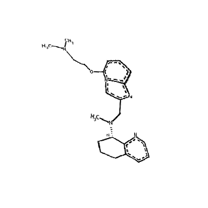 CN(C)CCOc1cccc2nc(CN(C)[C@H]3CCCc4cccnc43)cn12